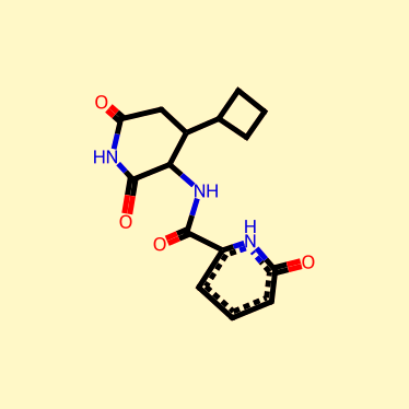 O=C1CC(C2CCC2)C(NC(=O)c2cccc(=O)[nH]2)C(=O)N1